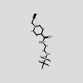 C#CCN1CCC(C(=O)NCCO[Si](C)(C)C(C)(C)C)CC1